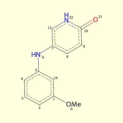 COc1cccc(Nc2ccc(=O)[nH]c2)c1